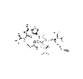 CC(C)C(=O)Nc1nc2c(ncn2C2O[C@H](COP(OCCC#N)N(C(C)C)C(C)C)[C@@H](OC(=O)C(C)C)[C@H]2OC(=O)C(C)C)c(=O)[nH]1